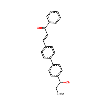 COCC(O)c1ccc(-c2ccc(/C=C/C(=O)c3ccccc3)cc2)cc1